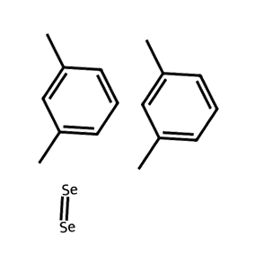 Cc1cccc(C)c1.Cc1cccc(C)c1.[Se]=[Se]